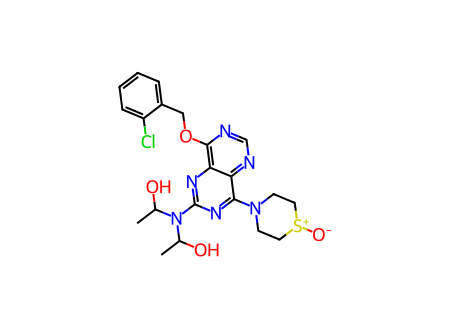 CC(O)N(c1nc(N2CC[S+]([O-])CC2)c2ncnc(OCc3ccccc3Cl)c2n1)C(C)O